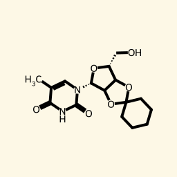 Cc1cn([C@@H]2O[C@H](CO)C3OC4(CCCCC4)OC32)c(=O)[nH]c1=O